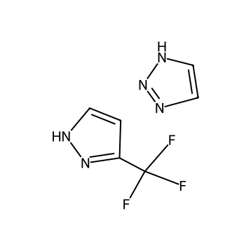 FC(F)(F)c1cc[nH]n1.c1c[nH]nn1